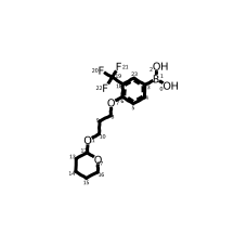 OB(O)c1ccc(OCCCOC2CCCCO2)c(C(F)(F)F)c1